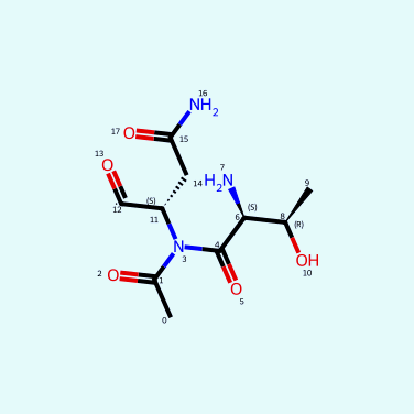 CC(=O)N(C(=O)[C@@H](N)[C@@H](C)O)[C@H]([C]=O)CC(N)=O